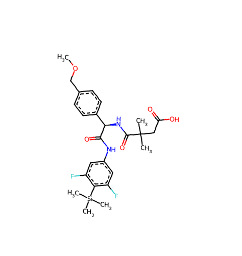 COCc1ccc([C@@H](NC(=O)C(C)(C)CC(=O)O)C(=O)Nc2cc(F)c([Si](C)(C)C)c(F)c2)cc1